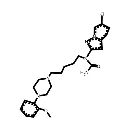 COc1ccccc1N1CCN(CCCCCN(C(N)=O)c2cc3ccc(Cl)cn3n2)CC1